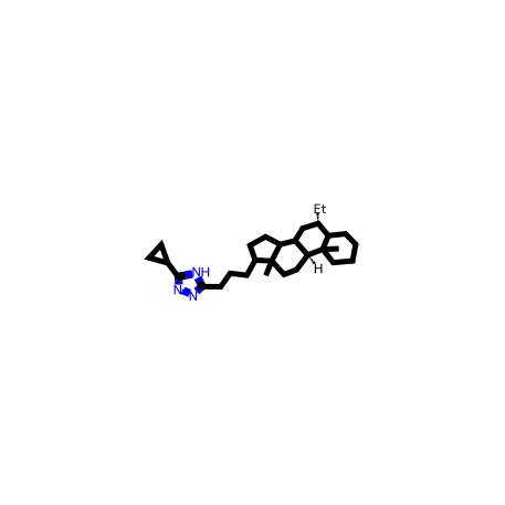 CC[C@H]1CC2C3CCC(CCCc4nnc(C5CC5)[nH]4)C3(C)CC[C@@H]2C2(C)CCCCC12